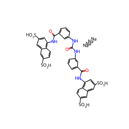 O=C(Nc1cccc(C(=O)Nc2cc(S(=O)(=O)O)cc3cc(S(=O)(=O)O)ccc23)c1)Nc1cccc(C(=O)Nc2cc(S(=O)(=O)O)cc3cc(S(=O)(=O)O)ccc23)c1.[Na].[Na].[Na].[Na]